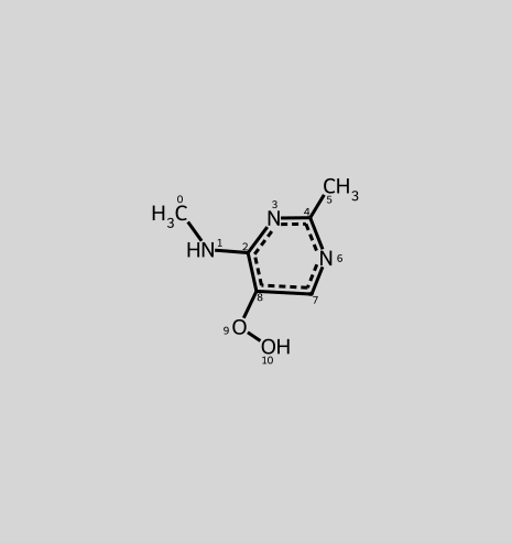 CNc1nc(C)ncc1OO